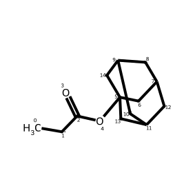 C[CH]C(=O)OC12CC3CC(CC(C3)C1)C2